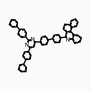 c1ccc(-c2ccc(-c3cc(-c4ccc(-c5ccc(-c6nc7ccccc7c7c6ccc6ccccc67)cc5)cc4)nc(-c4ccc(-c5ccccc5)cc4)n3)cc2)cc1